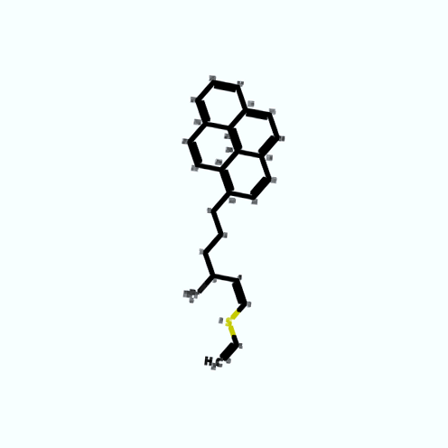 C=CS/C=C\C(CCC)CCCc1ccc2ccc3cccc4ccc1c2c34